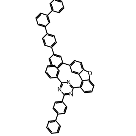 c1ccc(-c2ccc(-c3nc(-c4ccccc4)nc(-c4cccc5oc6ccc(-c7cccc(-c8ccc(-c9cccc(-c%10ccccc%10)c9)cc8)c7)cc6c45)n3)cc2)cc1